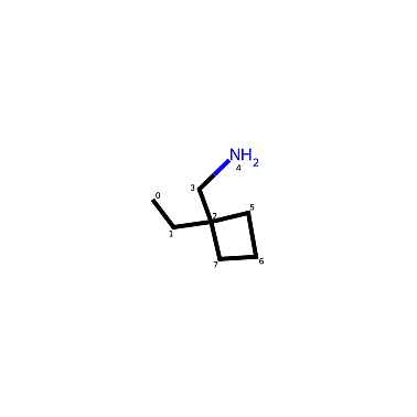 CCC1(CN)CCC1